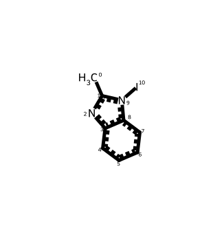 Cc1nc2ccccc2n1I